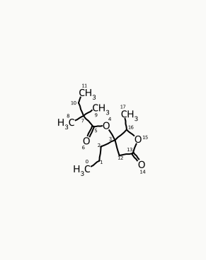 CCCC1(OC(=O)C(C)(C)CC)CC(=O)OC1C